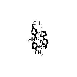 CCc1ccc(C(=O)Nc2ccc(C)c(Nc3nccc(-c4cccnc4)n3)c2)cc1